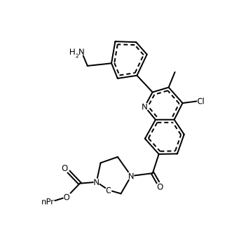 CCCOC(=O)N1CCN(C(=O)c2ccc3c(Cl)c(C)c(-c4cccc(CN)c4)nc3c2)CC1